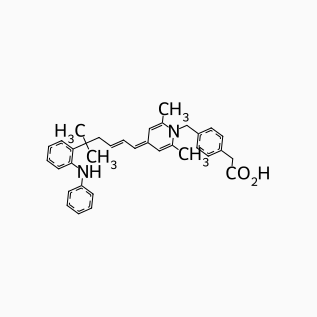 CC1=CC(=C/C=C/CC(C)(C)c2ccccc2Nc2ccccc2)C=C(C)N1Cc1ccc(CC(=O)O)cc1